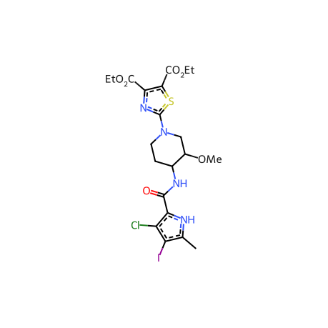 CCOC(=O)c1nc(N2CCC(NC(=O)c3[nH]c(C)c(I)c3Cl)C(OC)C2)sc1C(=O)OCC